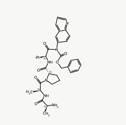 CC(C)[C@H](NC(=O)[C@@H]1CCCN1C(=O)[C@H](C)NC(=O)[C@H](C)N)C(=O)N(C(=O)OCc1ccccc1)c1ccc2ncccc2c1